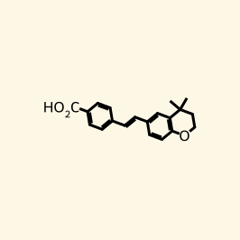 CC1(C)CCOc2ccc(/C=C/c3ccc(C(=O)O)cc3)cc21